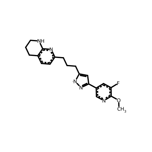 COc1ncc(C2=N[N]C(CCCc3ccc4c(n3)NCCC4)=C2)cc1F